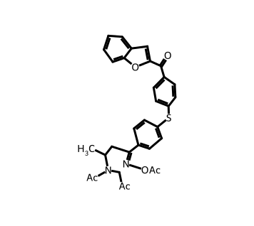 CC(=O)CN(C(C)=O)C(C)CC(=NOC(C)=O)c1ccc(Sc2ccc(C(=O)c3cc4ccccc4o3)cc2)cc1